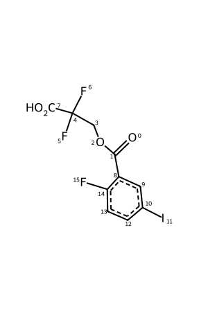 O=C(OCC(F)(F)C(=O)O)c1cc(I)ccc1F